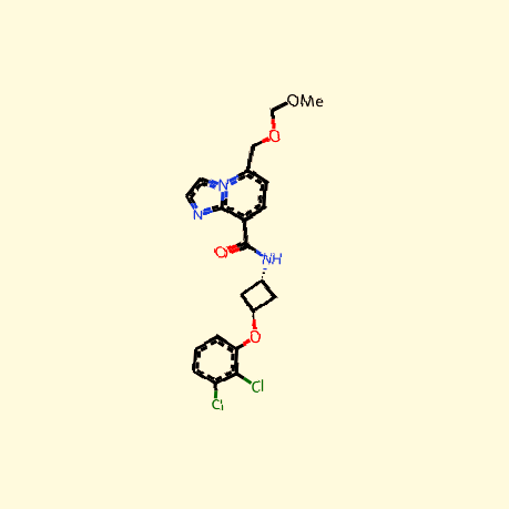 COCOCc1ccc(C(=O)N[C@H]2C[C@H](Oc3cccc(Cl)c3Cl)C2)c2nccn12